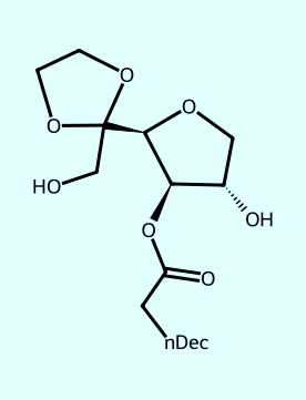 CCCCCCCCCCCC(=O)O[C@@H]1[C@@H](O)CO[C@@H]1C1(CO)OCCO1